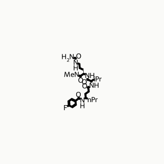 CCCC(CCC(=O)NC(C(=O)N[C@@H](CCCNC(N)=O)C(=O)NC)C(C)C)NC(=O)c1ccc(F)cc1